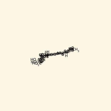 CS(=O)(=O)c1nnc(-c2ccc(NC(=O)CCC(=O)NCCCOCCOCCOCCCNC(=S)Nc3ccc(C[C@@H](CN(CC(=O)O)[C@@H]4CCCC[C@H]4N(CC(=O)O)CC(=O)O)N(CC(=O)O)CC(=O)O)cc3)cc2)o1